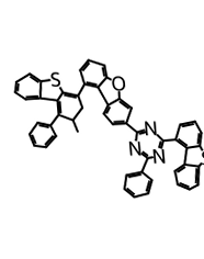 CC1CC(c2cccc3oc4cc(-c5nc(-c6ccccc6)nc(-c6cccc7sc8ccccc8c67)n5)ccc4c23)=c2sc3ccccc3c2=C1c1ccccc1